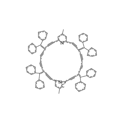 Cc1cc2c#cc(=C(c3ccccc3)c3ccccc3)c#cc#cc(=C(c3ccccc3)c3ccccc3)c#cc3cc(C)cc(c#cc(=C(c4ccccc4)c4ccccc4)c#cc#cc(=C(c4ccccc4)c4ccccc4)c#cc(c1)n2)n3